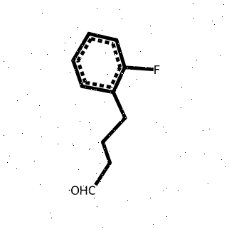 O=[C]CCCc1ccccc1F